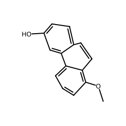 COc1cccc2c1ccc1ccc(O)cc12